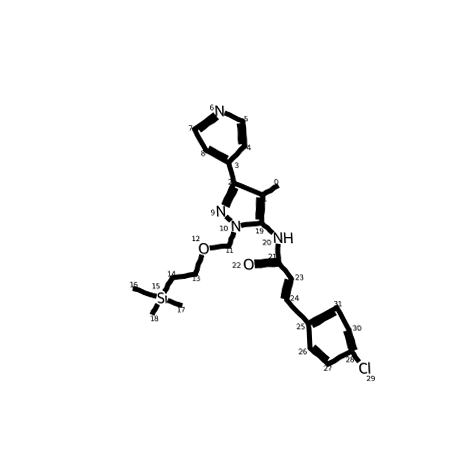 Cc1c(-c2ccncc2)nn(COCC[Si](C)(C)C)c1NC(=O)C=Cc1ccc(Cl)cc1